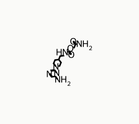 NC(=O)COC(=O)NCCC1CCN(c2cncc(N)n2)CC1